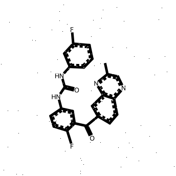 Cc1cnc2ccc(C(=O)c3cc(NC(=O)Nc4cccc(F)c4)ccc3F)cc2n1